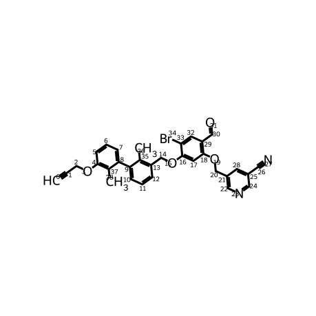 C#CCOc1cccc(-c2cccc(COc3cc(OCc4cncc(C#N)c4)c(C=O)cc3Br)c2C)c1C